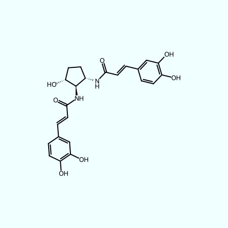 O=C(C=Cc1ccc(O)c(O)c1)N[C@H]1[C@H](O)CC[C@@H]1NC(=O)C=Cc1ccc(O)c(O)c1